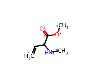 C=CC(NC)C(=O)OC